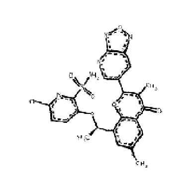 Cc1cc([C@@H](C)Oc2ccc(Cl)nc2S(N)(=O)=O)c2oc(-c3cnc4nonc4c3)c(C)c(=O)c2c1